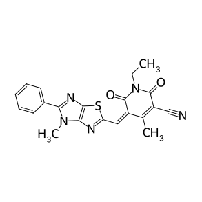 CCN1C(=O)C(C#N)=C(C)/C(=C/c2nc3c(nc(-c4ccccc4)n3C)s2)C1=O